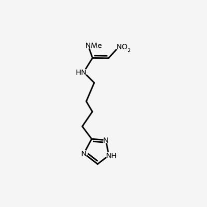 CNC(=C[N+](=O)[O-])NCCCCc1nc[nH]n1